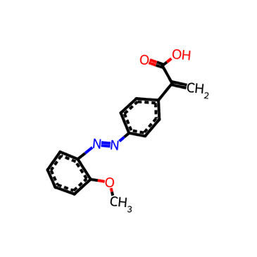 C=C(C(=O)O)c1ccc(N=Nc2ccccc2OC)cc1